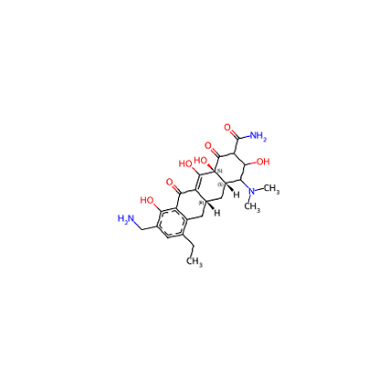 CCc1cc(CN)c(O)c2c1C[C@H]1C[C@H]3C(N(C)C)C(O)C(C(N)=O)C(=O)[C@@]3(O)C(O)=C1C2=O